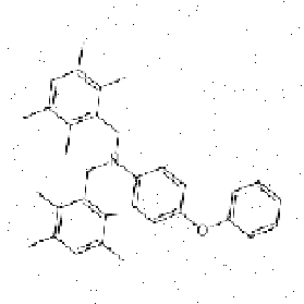 Cc1cc(C)c(C)c(CN(Cc2c(C)c(C)cc(C)c2C)c2ccc(Oc3ccccc3)cc2)c1C